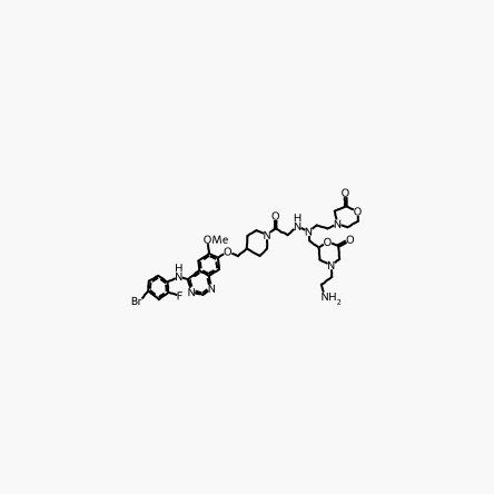 COc1cc2c(Nc3ccc(Br)cc3F)ncnc2cc1OCC1CCN(C(=O)CNN(CCN2CCOC(=O)C2)CC2CN(CCN)CC(=O)O2)CC1